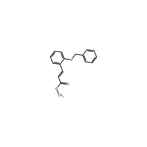 COC(=O)C=Cc1ccccc1OCc1ccccc1